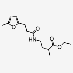 CCOC(=O)C(C)CCNC(=O)CCc1ccc(C)o1